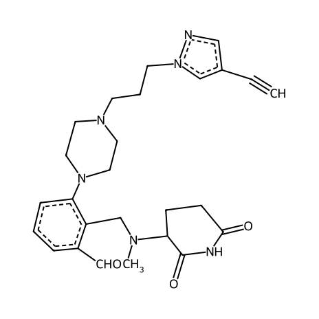 C#Cc1cnn(CCCN2CCN(c3cccc(C=O)c3CN(C)C3CCC(=O)NC3=O)CC2)c1